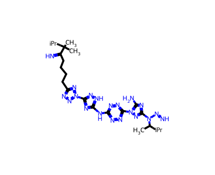 CC(C)C(C)N(N=N)c1nc(N)n(-c2nnc(Nc3nc(-n4nnc(CCCCC(=N)C(C)(C)C(C)C)n4)n[nH]3)nn2)n1